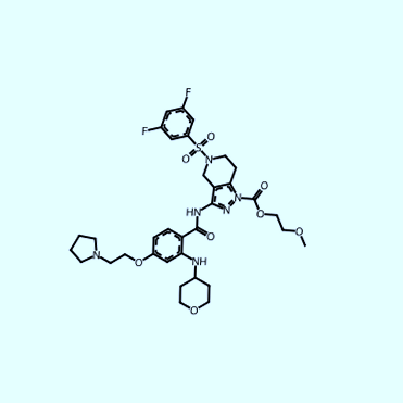 COCCOC(=O)n1nc(NC(=O)c2ccc(OCCN3CCCC3)cc2NC2CCOCC2)c2c1CCN(S(=O)(=O)c1cc(F)cc(F)c1)C2